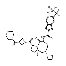 O=C(N[C@H]1CC[C@H](N2CCC2)C[C@H]2CC[C@@H](C(=O)N3CC(C(=O)N4CCOCC4)C3)N2C1=O)c1cc2cc(C(F)(F)P(=O)(O)O)ccc2s1